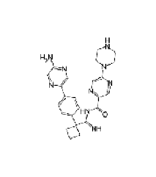 N=C(NC(=O)c1cnc(N2CCNCC2)cn1)C1(c2ccc(-c3cnc(N)cn3)cc2)CCC1